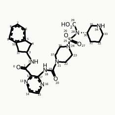 O=C(NC1Cc2ccccc2C1)c1nccnc1NC(=O)N1CCN(S(=O)(=O)N(C(=O)O)[C@H]2CCCNC2)CC1